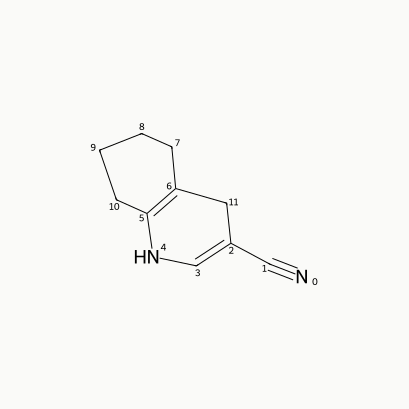 N#CC1=CNC2=C(CCCC2)C1